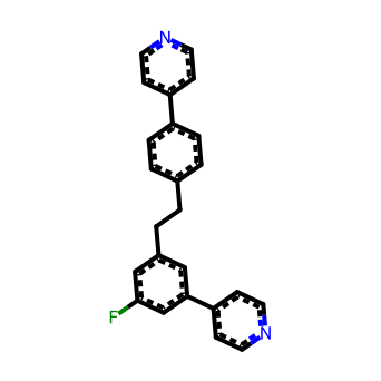 Fc1cc(CCc2ccc(-c3ccncc3)cc2)cc(-c2ccncc2)c1